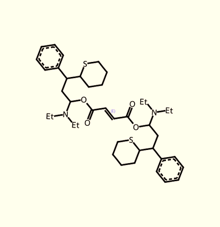 CCN(CC)C(CC(c1ccccc1)C1CCCCS1)OC(=O)/C=C/C(=O)OC(CC(c1ccccc1)C1CCCCS1)N(CC)CC